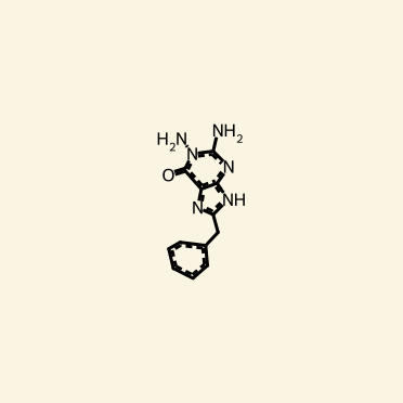 Nc1nc2[nH]c(Cc3ccccc3)nc2c(=O)n1N